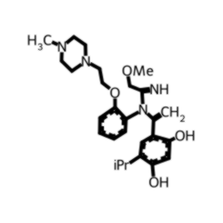 C=C(c1cc(C(C)C)c(O)cc1O)N(C(=N)COC)c1ccccc1OCCN1CCN(C)CC1